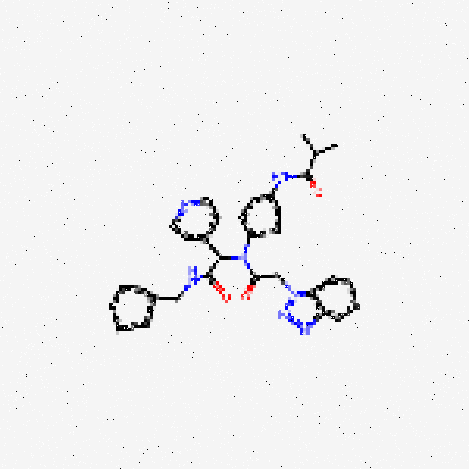 CC(C)C(=O)Nc1ccc(N(C(=O)Cn2nnc3ccccc32)C(C(=O)NCc2ccccc2)c2ccncc2)cc1